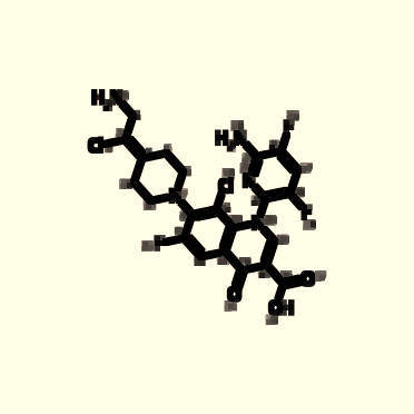 NCC(Cl)=C1CCN(c2c(F)cc3c(=O)c(C(=O)O)cn(-c4nc(N)c(F)cc4F)c3c2Cl)CC1